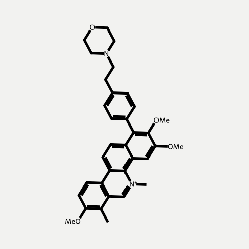 COc1cc2c(ccc3c4ccc(OC)c(C)c4c[n+](C)c23)c(-c2ccc(CCN3CCOCC3)cc2)c1OC